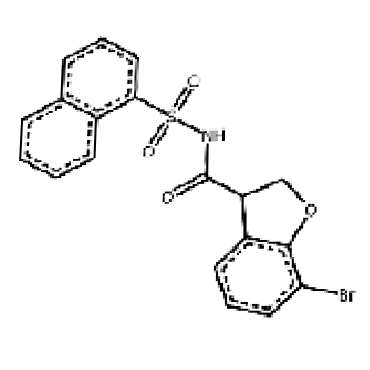 O=C(NS(=O)(=O)c1cccc2ccccc12)C1COc2c(Br)cccc21